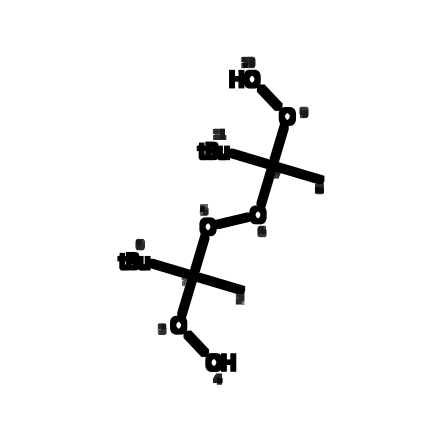 CC(C)(C)C(C)(OO)OOC(C)(OO)C(C)(C)C